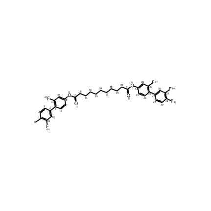 Cc1ccc(-c2ccc(OC(=O)CCCCCCCCCC(=O)Oc3ccc(-c4ccc(F)c(F)c4)c(F)c3)cc2F)cc1F